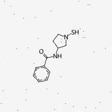 O=C(NC1CCN(S)C1)c1ccccc1